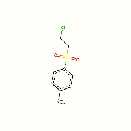 O=[N+]([O-])c1ccc(S(=O)(=O)CCCl)cc1